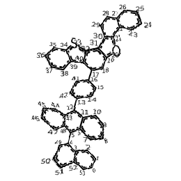 c1ccc2c(-c3c4ccccc4c(-c4ccc(-c5cc6oc7c8ccccc8ccc7c6c6sc7ccccc7c56)cc4)c4ccccc34)cccc2c1